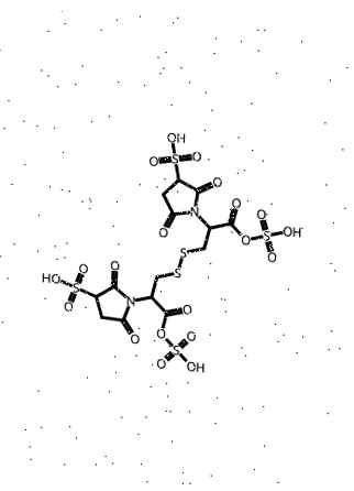 O=C(OS(=O)(=O)O)C(CSSCC(C(=O)OS(=O)(=O)O)N1C(=O)CC(S(=O)(=O)O)C1=O)N1C(=O)CC(S(=O)(=O)O)C1=O